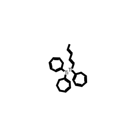 C1=CC=[C]([Ti][C]2=CC=CCCC2)CC=C1.CC=CC=[CH][Ti][C]1=CC=CC=CC1